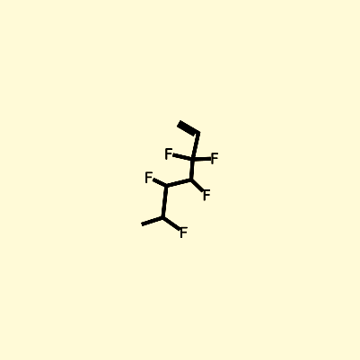 C=CC(F)(F)C(F)C(F)C(C)F